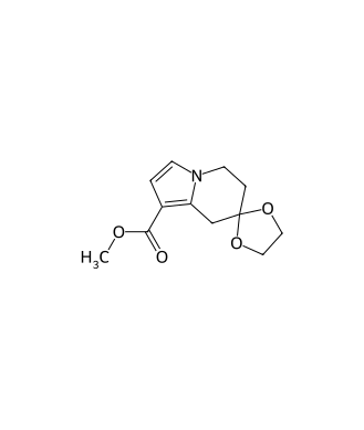 COC(=O)c1ccn2c1CC1(CC2)OCCO1